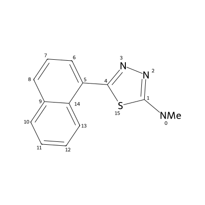 CNc1nnc(-c2cccc3ccccc23)s1